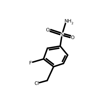 NS(=O)(=O)c1ccc(CCl)c(F)c1